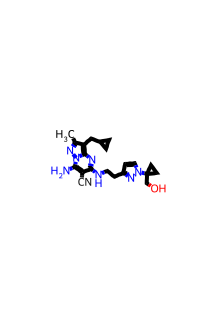 Cc1nn2c(N)c(C#N)c(NCCc3ccn(C4(CO)CC4)n3)nc2c1CC1CC1